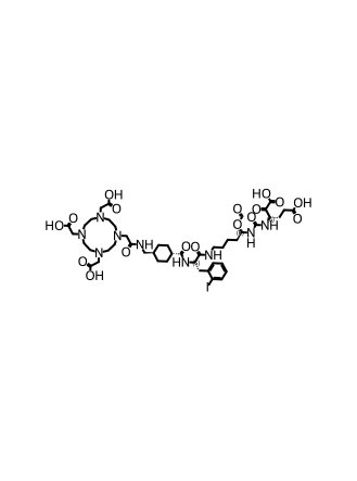 O=CO[C@H](CCCCNC(=O)[C@H](Cc1ccccc1I)NC(=O)[C@H]1CC[C@H](CNC(=O)CN2CCN(CC(=O)O)CCN(CC(=O)O)CCN(CC(=O)O)CC2)CC1)NC(=O)N[C@@H](CCC(=O)O)C(=O)C(=O)O